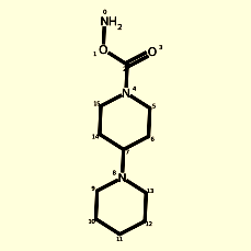 NOC(=O)N1CCC(N2CCCCC2)CC1